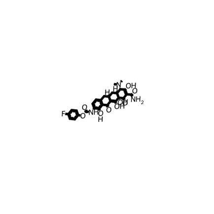 CN(C)[C@@H]1C(O)=C(C(N)=O)C(=O)[C@@]2(O)C(O)=C3C(=O)c4c(ccc(NC(=O)Oc5ccc(F)cc5)c4O)C[C@@H]3C[C@@H]12